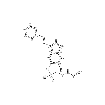 CC(O)(CCNC=O)Cc1cc2c(/C=C/c3cccnc3)n[nH]c2cc1F